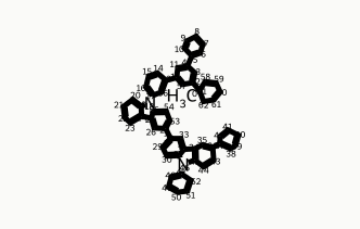 CC1(c2cc(-c3ccccc3)cc(-c3cccc(-n4c5ccccc5c5cc(-c6ccc7c(c6)c6cc(-c8ccccc8)ccc6n7-c6ccccc6)ccc54)c3)c2)C=CC=CC1